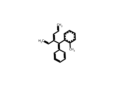 C=C/C=C(C=C)\C(=C1/C=C=CC=C1)c1ccccc1C